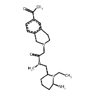 CCN1C(N)CCCC1CN(C)C(=O)CN1CCc2cc(C(C)=O)ccc2C1